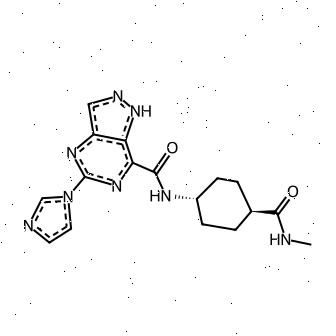 CNC(=O)[C@H]1CC[C@H](NC(=O)c2nc(-n3ccnc3)nc3cn[nH]c23)CC1